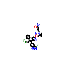 CN(C)C(=O)/C=C/CNC1(COc2ccc(/C(=C(/CC(F)(F)F)c3ccccc3)c3ccc4[nH]nc(F)c4c3)cn2)CC1